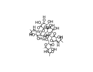 CC(=O)NC1C(O)[C@H](O)[C@H](CO)O[C@H]1O[C@@H]1C(O)[C@H](O)C(CO)O[C@@H]1OCC1O[C@@H](O[C@@H]2C(CO)O[C@@H](O[C@@H]3C(CO)O[C@@H](C)[C@@H](NC(C)=O)C3O)[C@@H](NC(C)=O)C2O)[C@H](O)C(O)[C@@H]1O